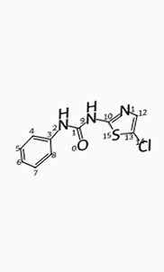 O=C(Nc1ccccc1)Nc1ncc(Cl)s1